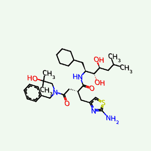 CC(C)C[C@H](O)[C@H](O)[C@H](CC1CCCCC1)NC(=O)[C@@H](CC(=O)N(Cc1ccccc1)CC(C)(C)O)Cc1csc(N)n1